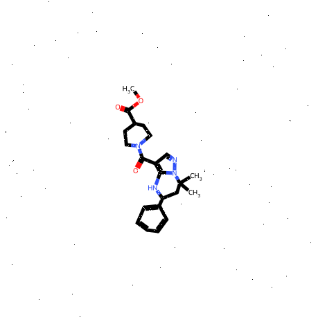 COC(=O)C1CCN(C(=O)c2cnn3c2NC(c2ccccc2)CC3(C)C)CC1